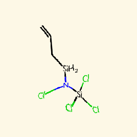 C=CC[SiH2]N(Cl)[Si](Cl)(Cl)Cl